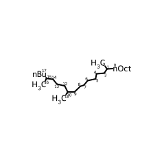 CCCCCCCCC(C)CCCCCCCC(C)CCCC(C)CCCC